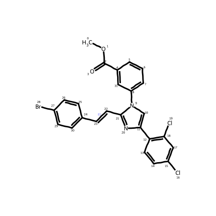 COC(=O)c1cccc(-n2cc(-c3ccc(Cl)cc3Cl)nc2/C=C/c2ccc(Br)cc2)c1